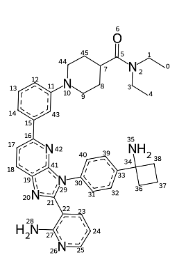 CCN(CC)C(=O)C1CCN(c2cccc(-c3ccc4nc(-c5cccnc5N)n(-c5ccc(C6(N)CCC6)cc5)c4n3)c2)CC1